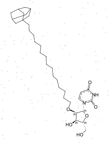 O=c1ccn([C@@H]2O[C@H](CO)[C@@H](O)[C@H]2OCCCCCCCCCCCCCCCC23CC4CC(CC(C4)C2)C3)c(=O)[nH]1